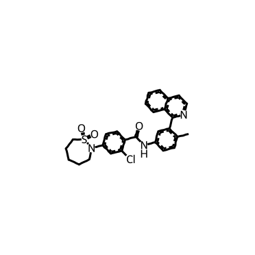 Cc1ccc(NC(=O)c2ccc(N3CCCCCS3(=O)=O)cc2Cl)cc1-c1nccc2ccccc12